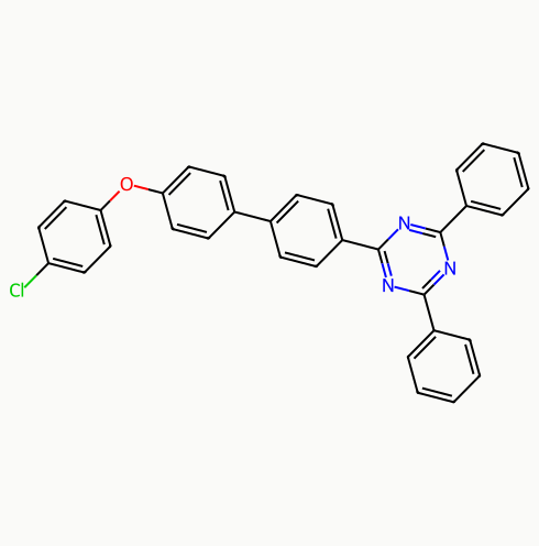 Clc1ccc(Oc2ccc(-c3ccc(-c4nc(-c5ccccc5)nc(-c5ccccc5)n4)cc3)cc2)cc1